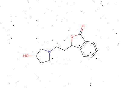 O=C1OC(CCN2CCC(O)C2)c2ccccc21